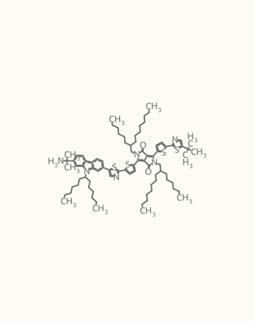 CCCCCCCCC(CCCCCC)CN1C(=O)C2=C(c3ccc(-c4ncc(C(C)(C)C)s4)s3)N(CC(CCCCCC)CCCCCCCC)C(=O)C2=C1c1ccc(-c2ncc(-c3ccc4c5ccc(C(C)(C)N)cc5n(C(CCCCCC)CCCCCC)c4c3)s2)s1